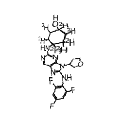 [2H]C1C([2H])C([2H])(Nc2ncc3nc(Nc4c(F)cc(F)cc4F)n(C4CCOC4)c3n2)C([2H])([2H])C([2H])C1([2H])O